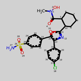 CN(O)C(=O)C1CCCCC1c1nc(-c2ccc(Cl)cc2)c(-c2ccc(S(N)(=O)=O)cc2)o1